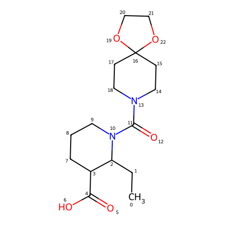 CCC1C(C(=O)O)CCCN1C(=O)N1CCC2(CC1)OCCO2